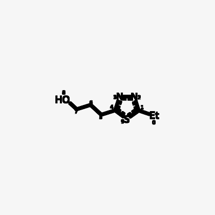 CCc1nnc(CCCO)s1